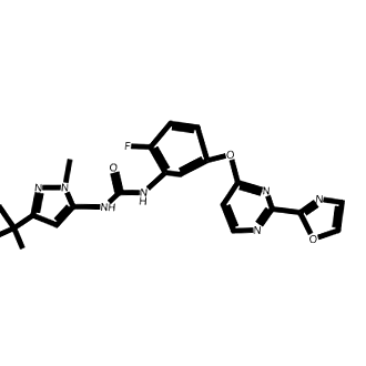 Cn1nc(C(C)(C)C)cc1NC(=O)Nc1cc(Oc2ccnc(-c3ncco3)n2)ccc1F